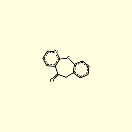 O=C1Cc2ccccc2Sc2ncccc21